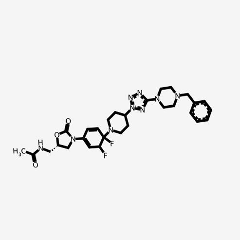 CC(=O)NC[C@H]1CN(C2=CC(F)C(F)(N3CCC(n4nnc(N5CCN(Cc6ccccc6)CC5)n4)CC3)C=C2)C(=O)O1